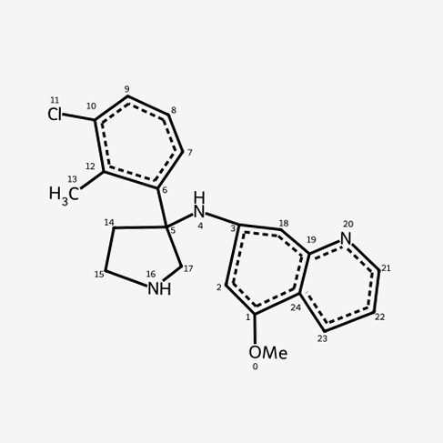 COc1cc(NC2(c3cccc(Cl)c3C)CCNC2)cc2ncccc12